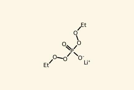 CCOOP(=O)([O-])OOCC.[Li+]